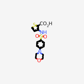 O=C(O)c1sccc1NS(=O)(=O)c1ccc(N2CCOCC2)cc1